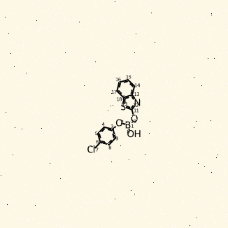 OB(Oc1ccc(Cl)cc1)Oc1nc2ccccc2s1